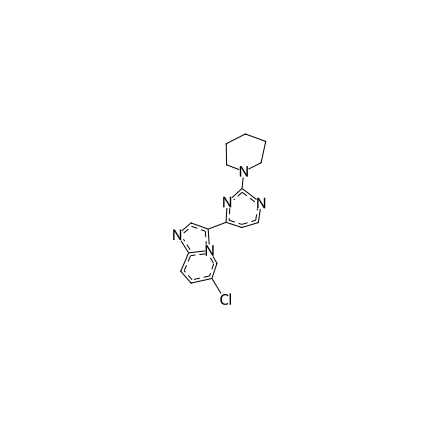 Clc1ccc2ncc(-c3ccnc(N4CCCCC4)n3)n2c1